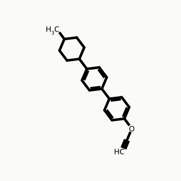 C#COc1ccc(-c2ccc(C3CCC(C)CC3)cc2)cc1